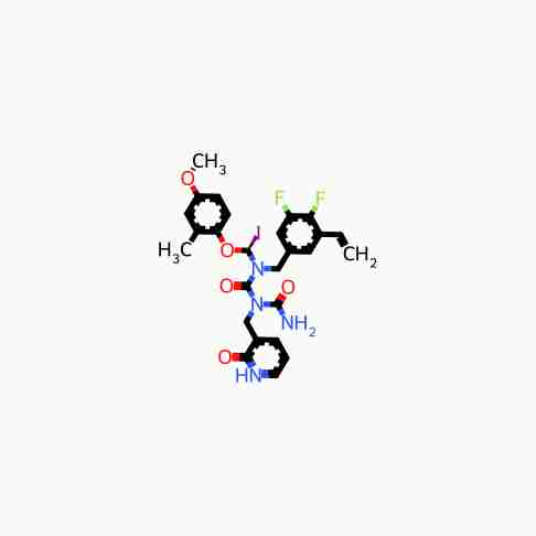 C=Cc1cc(CN(C(=O)N(Cc2ccc[nH]c2=O)C(N)=O)[C@H](I)Oc2ccc(OC)cc2C)cc(F)c1F